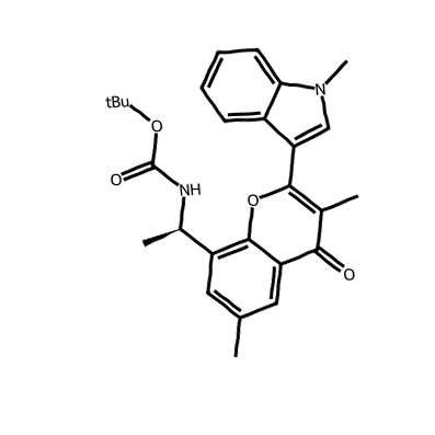 Cc1cc([C@@H](C)NC(=O)OC(C)(C)C)c2oc(-c3cn(C)c4ccccc34)c(C)c(=O)c2c1